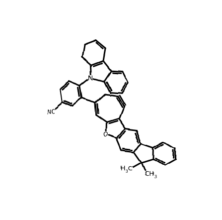 CC1(C)c2ccccc2-c2cc3c4c(oc3cc21)C=C(c1cc(C#N)ccc1-n1c2c(c3ccccc31)C=CCC2)CC#C4